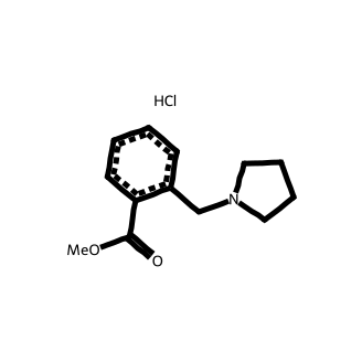 COC(=O)c1ccccc1CN1CCCC1.Cl